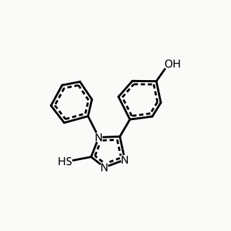 Oc1ccc(-c2nnc(S)n2-c2ccccc2)cc1